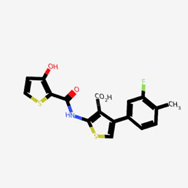 Cc1ccc(-c2csc(NC(=O)c3sccc3O)c2C(=O)O)cc1F